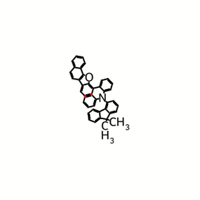 CC1(C)c2ccccc2-c2c(N(c3ccccc3)c3ccccc3-c3cccc4c3oc3c5ccccc5ccc43)cccc21